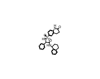 O=C1CCc2cc(S(=O)(=O)NC(C(=O)NC3CCCc4ccccc43)c3ccccc3)ccc2N1